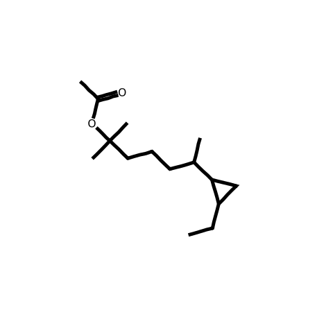 CCC1CC1C(C)CCCC(C)(C)OC(C)=O